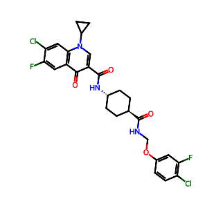 O=C(N[C@H]1CC[C@H](C(=O)NCOc2ccc(Cl)c(F)c2)CC1)c1cn(C2CC2)c2cc(Cl)c(F)cc2c1=O